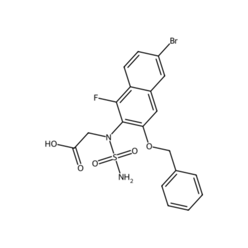 NS(=O)(=O)N(CC(=O)O)c1c(OCc2ccccc2)cc2cc(Br)ccc2c1F